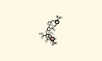 C[C@@H](O)[C@H]1C(=O)N2C(C(=O)O)=C(S[C@H]3C[C@@H](C4OCC(CO)O4)N(C(=O)OCc4ccc([N+](=O)[O-])cc4)C3)[C@](C)(Cc3ccc([N+](=O)[O-])cc3)[C@H]12